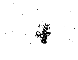 CCC(C)NNCc1cc(OC)c(CN(Cc2ccccc2)C2CCC(C(=O)O)CC2)cc1Cl